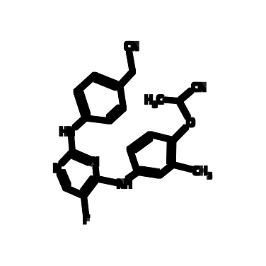 Cc1cc(Nc2nc(Nc3ccc(CC#N)cc3)ncc2F)ccc1OC(C)C#N